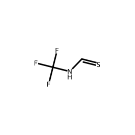 FC(F)(F)NC=S